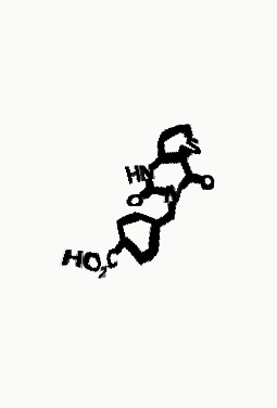 O=C(O)c1ccc(Cn2c(=O)[nH]c3ccsc3c2=O)cc1